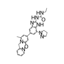 CCNC(=O)Nc1nc2cc(-c3cc(C)n(Cc4ccccn4)c(=O)c3)cc(N3CCC=N3)c2[nH]1